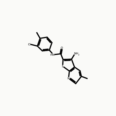 Cc1cnc2sc(C(=O)Nc3ccc(C)c(Cl)c3)c(N)c2c1